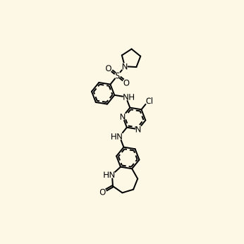 O=C1CCCc2ccc(Nc3ncc(Cl)c(Nc4ccccc4S(=O)(=O)N4CCCC4)n3)cc2N1